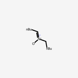 CCCC/C=[N+](\[O-])CCCCC